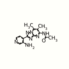 CC(=O)Nc1nc2nc(-c3ccncc3N)nn2c(C)c1C